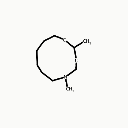 CC1CCCCCCCN(C)CC1